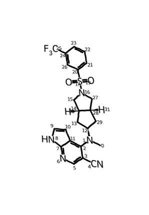 CN(c1c(C#N)cnc2[nH]ccc12)[C@H]1C[C@@H]2CN(S(=O)(=O)c3cccc(C(F)(F)F)c3)C[C@@H]2C1